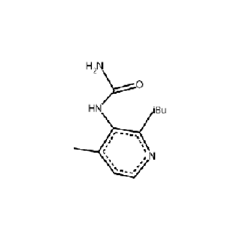 CCC(C)c1nccc(C)c1NC(N)=O